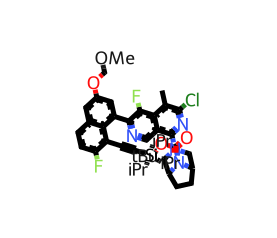 COCOc1cc(-c2ncc3c(N4CC5CCC(C4)N5C(=O)OC(C)(C)C)nc(Cl)c(C)c3c2F)c2c(C#C[Si](C(C)C)(C(C)C)C(C)C)c(F)ccc2c1